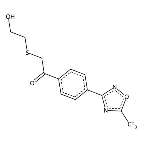 O=C(CSCCO)c1ccc(-c2noc(C(F)(F)F)n2)cc1